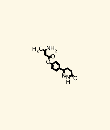 C/C(N)=C/C(=O)Oc1ccc(C2=NNC(=O)CC2)cc1